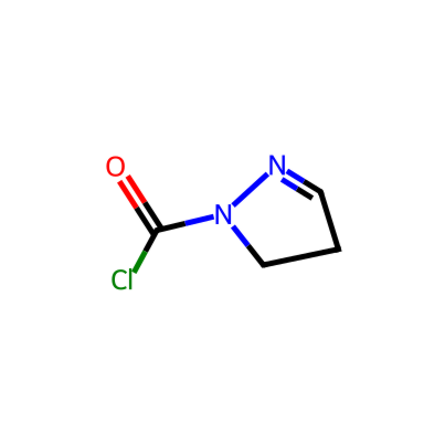 O=C(Cl)N1CCC=N1